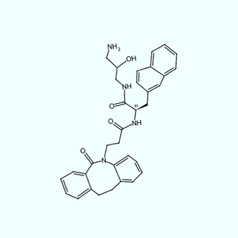 NCC(O)CNC(=O)[C@@H](Cc1ccc2ccccc2c1)NC(=O)CCN1C(=O)c2ccccc2CCc2ccccc21